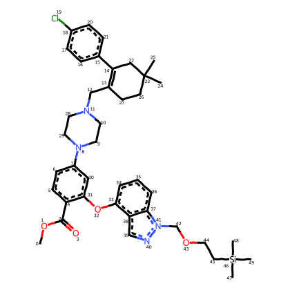 COC(=O)c1ccc(N2CCN(CC3=C(c4ccc(Cl)cc4)CC(C)(C)CC3)CC2)cc1Oc1cccc2c1cnn2COCC[Si](C)(C)C